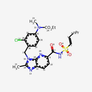 CCCC=CS(=O)(=O)NC(=O)c1ccc2nc(C)n(Cc3ccc(N(C)C(=O)OCC)cc3Cl)c2n1